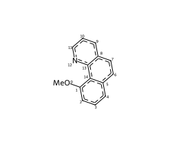 COc1cccc2ccc3cccnc3c12